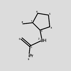 C=C(BC1CCCC1C)C(C)C